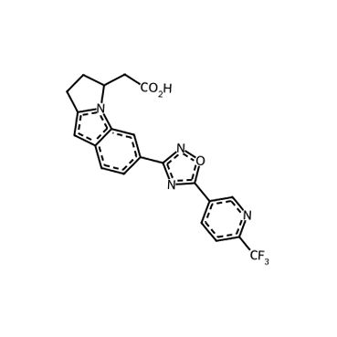 O=C(O)CC1CCc2cc3ccc(-c4noc(-c5ccc(C(F)(F)F)nc5)n4)cc3n21